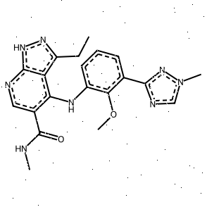 CCc1n[nH]c2ncc(C(=O)NC)c(Nc3cccc(-c4ncn(C)n4)c3OC)c12